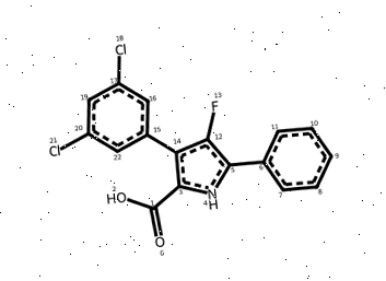 O=C(O)c1[nH]c(-c2ccccc2)c(F)c1-c1cc(Cl)cc(Cl)c1